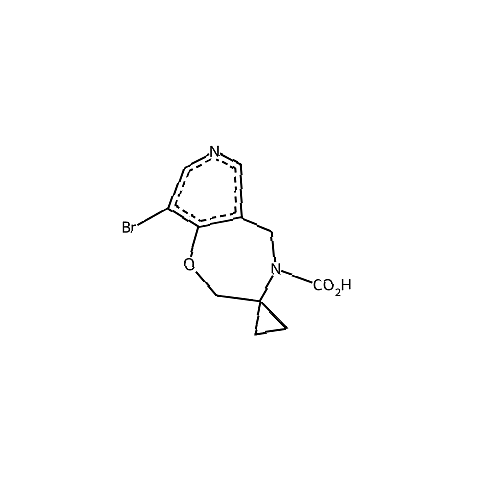 O=C(O)N1Cc2cncc(Br)c2OCC12CC2